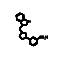 O=C(O)c1cccc(C2CCN(Cc3c[nH]c4ccccc34)C2)c1